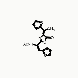 CC(=O)NC(=Cc1cccs1)C1=NC(=C(C)c2cccs2)C(=O)O1